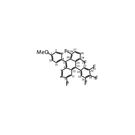 COc1ccc(-c2c3ccc(F)cc3c(-c3cc(F)c(F)c(F)c3)c3c(F)ccc(F)c23)cc1